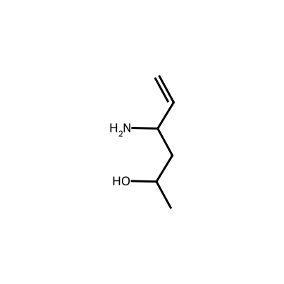 C=CC(N)CC(C)O